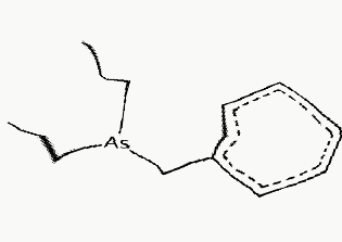 CC[As](CC)Cc1ccccc1